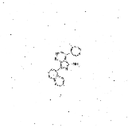 Nc1nn(-c2cccc3ccccc23)c2nncc(-c3ccccc3)c12